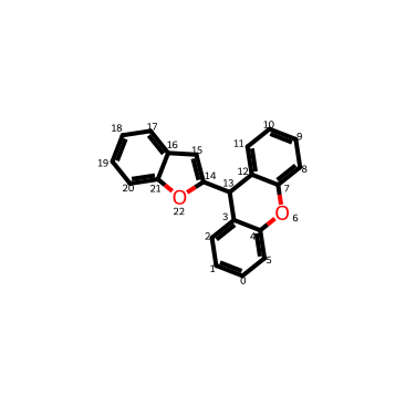 c1ccc2c(c1)Oc1ccccc1C2c1cc2ccccc2o1